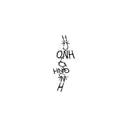 CC1(C)CC(NC(=O)c2ccc(C(=O)NC3CC(C)(C)NC(C)(C)C3)cc2)CC(C)(C)N1